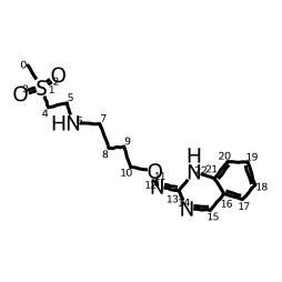 CS(=O)(=O)CCNCCCCON=c1ncc2ccccc2[nH]1